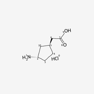 Cl.N[C@H]1CC[C@H](CC(=O)O)C1